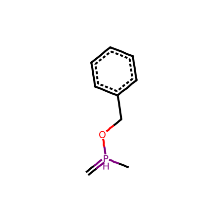 C=[PH](C)OCc1ccccc1